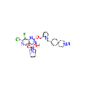 O=C(O)N1C2CCC1CN(c1nc(OCc3cccn3CC3CCC4(CCNCC4)CC3)nc3c(F)c(Cl)ncc13)C2